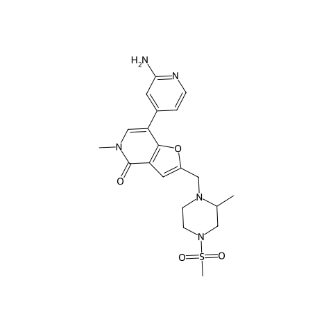 CC1CN(S(C)(=O)=O)CCN1Cc1cc2c(=O)n(C)cc(-c3ccnc(N)c3)c2o1